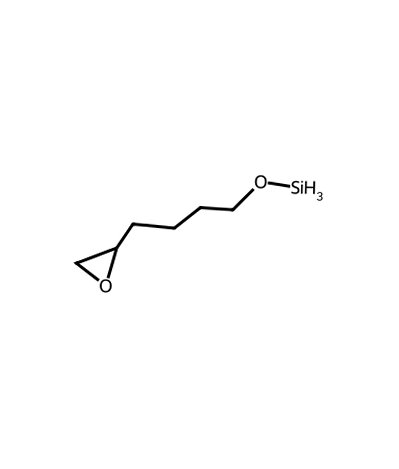 [SiH3]OCCCCC1CO1